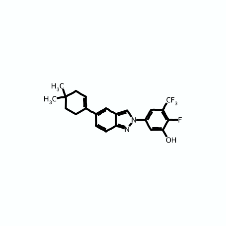 CC1(C)CC=C(c2ccc3nn(-c4cc(O)c(F)c(C(F)(F)F)c4)cc3c2)CC1